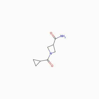 NC(=O)C1CN(C(=O)C2CC2)C1